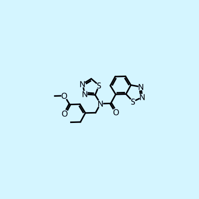 CCC(=CC(=O)OC)CN(C(=O)c1cccc2nnsc12)c1nncs1